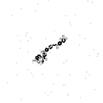 C=CCn1c(=O)c2cnc(Nc3ccc(N4CCN(CCCNc5ccc(C6CCC(=O)NC6=O)cc5)CC4)cc3)nc2n1-c1ccc2c(n1)[C@@](O)(CC)CC2